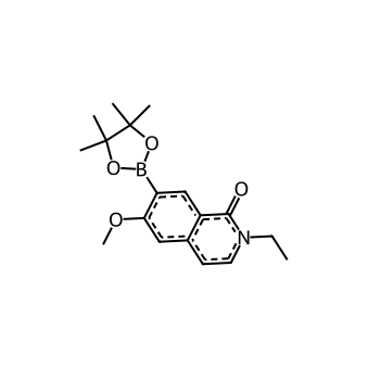 CCn1ccc2cc(OC)c(B3OC(C)(C)C(C)(C)O3)cc2c1=O